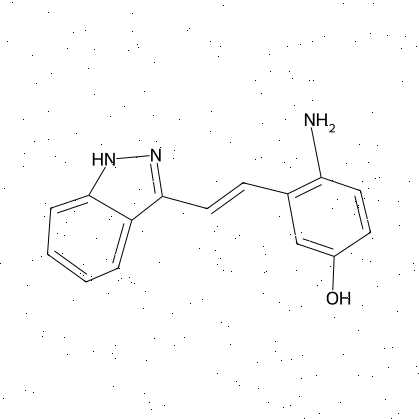 Nc1ccc(O)cc1C=Cc1n[nH]c2ccccc12